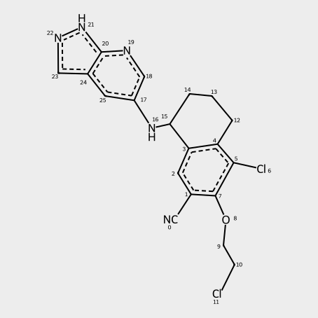 N#Cc1cc2c(c(Cl)c1OCCCl)CCCC2Nc1cnc2[nH]ncc2c1